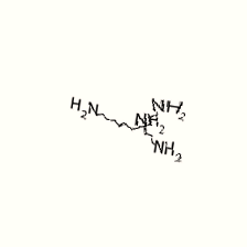 NCCCCCCCC(N)(CCCN)CCCN